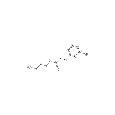 CCCCOC(=O)CCc1cccc(S)c1